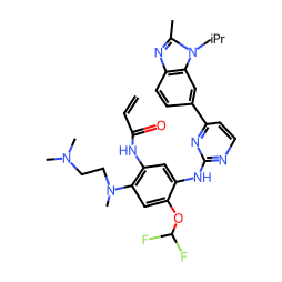 C=CC(=O)Nc1cc(Nc2nccc(-c3ccc4nc(C)n(C(C)C)c4c3)n2)c(OC(F)F)cc1N(C)CCN(C)C